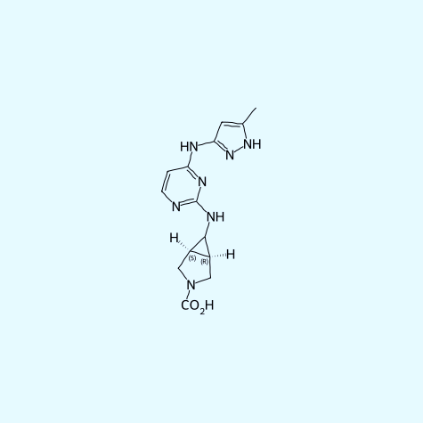 Cc1cc(Nc2ccnc(NC3[C@H]4CN(C(=O)O)C[C@@H]34)n2)n[nH]1